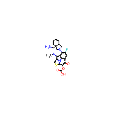 CN=c1c2c(N3CC4C=CC=CC4(CN)C3)c(F)cc3c(=O)c(OC(=O)O)c4scc1n4c32